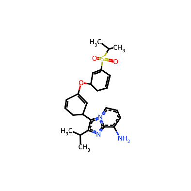 CC(C)c1nc2c(N)cccn2c1C1C=C(OC2C=C(S(=O)(=O)C(C)C)C=CC2)C=CC1